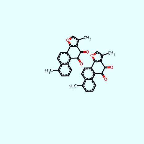 Cc1coc2c1C(=O)C(=O)c1c-2ccc2c(C)cccc12.Cc1coc2c1C(=O)C(=O)c1c-2ccc2c(C)cccc12